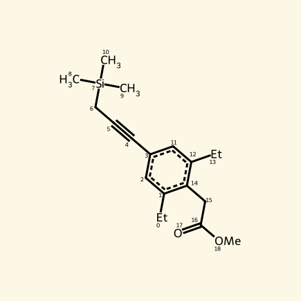 CCc1cc(C#CC[Si](C)(C)C)cc(CC)c1CC(=O)OC